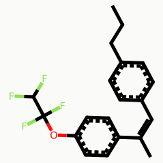 CCCc1ccc(C=C(C)c2ccc(OC(F)(F)C(F)F)cc2)cc1